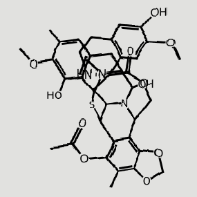 COc1cc2c(cc1O)CCN[C@]21CSC2c3c(OC(C)=O)c(C)c4c(c3C(COC1=O)N1C(O)C3Cc5cc(C)c(OC)c(O)c5C(C21)N3C)OCO4